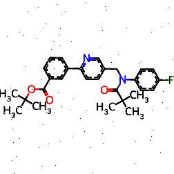 CC(C)(C)OC(=O)c1cccc(-c2ccc(CN(C(=O)C(C)(C)C)c3ccc(F)cc3)cn2)c1